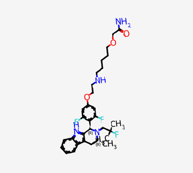 C[C@@H]1Cc2c([nH]c3ccccc23)[C@@H](c2c(F)cc(OCCNCCCCCOCC(N)=O)cc2F)N1CC(C)(C)F